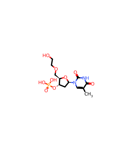 Cc1cn([C@H]2C[C@H](OP(=O)(O)O)[C@@H](COCCO)O2)c(=O)[nH]c1=O